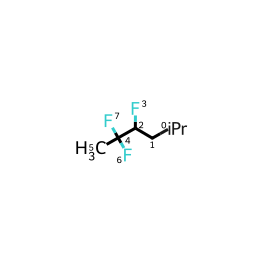 CC(C)CC(F)C(C)(F)F